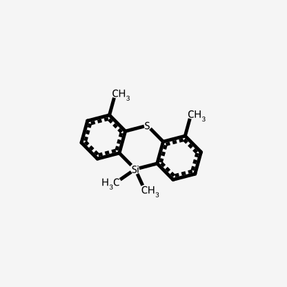 Cc1cccc2c1Sc1c(C)cccc1[Si]2(C)C